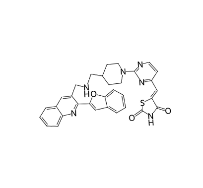 O=C1NC(=O)C(=Cc2ccnc(N3CCC(CNCc4cc5ccccc5nc4-c4cc5ccccc5o4)CC3)n2)S1